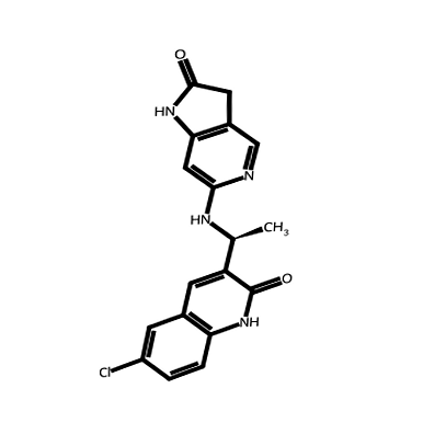 C[C@H](Nc1cc2c(cn1)CC(=O)N2)c1cc2cc(Cl)ccc2[nH]c1=O